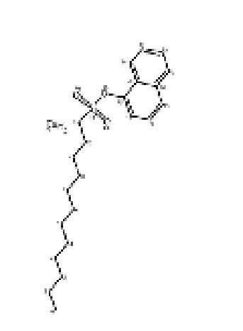 CCCCCCCCCCCCS(=O)(=O)Oc1cccc2ccccc12.[CaH2]